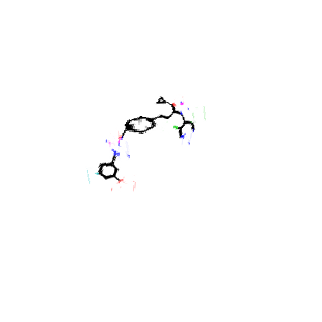 O=C(O)c1cc(F)cc(-c2noc(C34CCC(C=Cc5c(-c6c(Cl)cncc6Cl)noc5C5CC5)(CC3)CC4)n2)c1